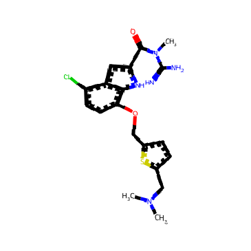 CN(C)Cc1ccc(COc2ccc(Cl)c3cc(C(=O)N(C)C(=N)N)[nH]c23)s1